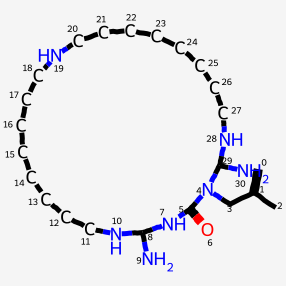 C=C(C)CN1C(=O)NC(N)NCCCCCCCCNCCCCCCCCNC1N